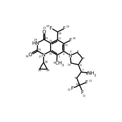 Cc1c(N2CCC(C(N)CC(F)(F)F)C2)c(F)c(C(F)F)c2c(=O)[nH]c(=O)n(C3CC3)c12